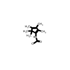 CC1=C(C)C(C)(C)[C]([Ru][C](=O)Cl)=C1C